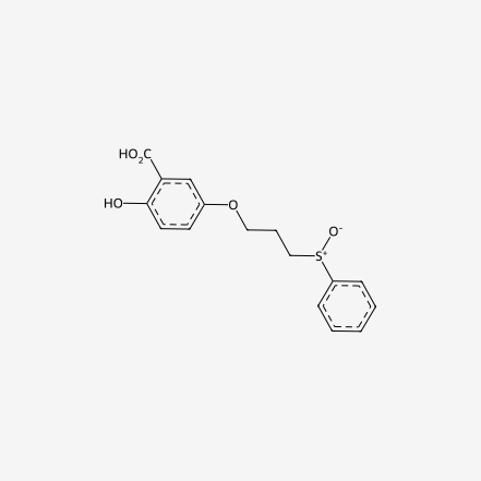 O=C(O)c1cc(OCCC[S+]([O-])c2ccccc2)ccc1O